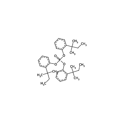 CCC(C)(C)c1ccccc1OP(=O)(Oc1ccccc1C(C)(C)CC)Oc1ccccc1C(C)(C)CC